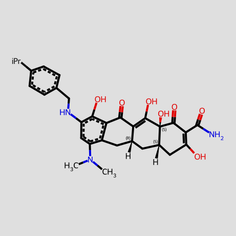 CC(C)c1ccc(CNc2cc(N(C)C)c3c(c2O)C(=O)C2=C(O)[C@]4(O)C(=O)C(C(N)=O)=C(O)C[C@@H]4C[C@@H]2C3)cc1